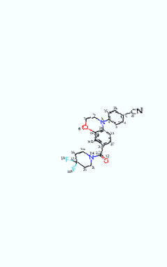 N#Cc1ccc(N2CCOc3cc(C(=O)N4CCC(F)(F)CC4)ccc32)cc1